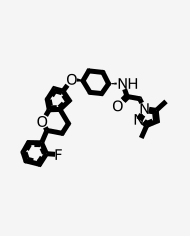 Cc1cc(C)n(CC(=O)N[C@H]2CC[C@H](Oc3ccc4c(c3)CCC(c3ccccc3F)O4)CC2)n1